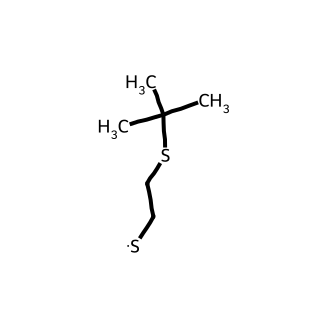 CC(C)(C)SCC[S]